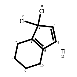 ClC1(Cl)C=CC2=C1CCCC2.[Ti]